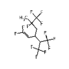 CC(F)(CC(C=C(F)F)C(C(F)(F)F)C(F)(F)F)C(F)(F)F